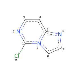 Clc1nccc2nccn12